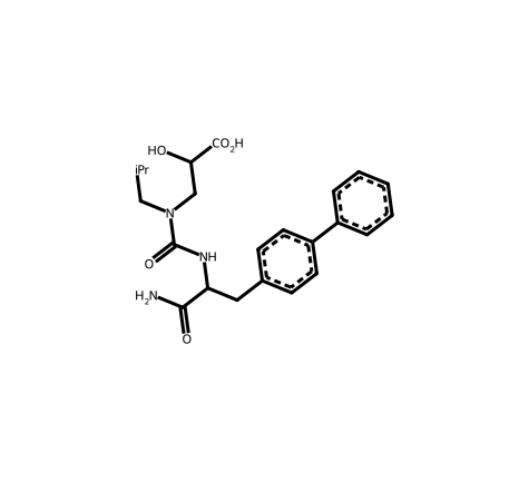 CC(C)CN(CC(O)C(=O)O)C(=O)NC(Cc1ccc(-c2ccccc2)cc1)C(N)=O